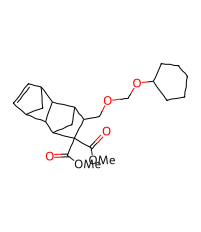 COC(=O)C1(C(=O)OC)C(COCOC2CCCCC2)C2CC1C1C3C=CC(C3)C21